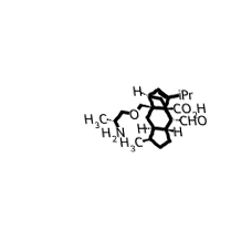 CC(C)C1=C[C@H]2C[C@@]3(C=O)[C@@H]4CC[C@@H](C)[C@H]4C[C@@]2(COC[C@@H](C)N)[C@]13C(=O)O